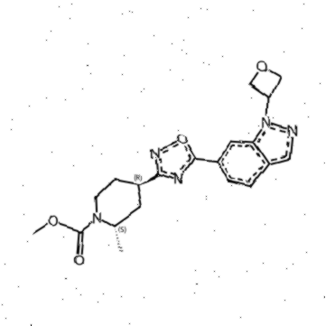 COC(=O)N1CC[C@@H](c2noc(-c3ccc4cnn(C5COC5)c4c3)n2)C[C@@H]1C